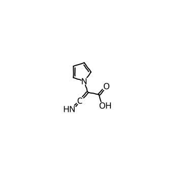 N=C=C(C(=O)O)n1cccc1